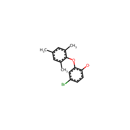 Cc1cc(C)c(Oc2cc(Br)ccc2[O])c(C)c1